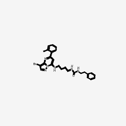 Cc1ccccc1-c1cc(NCCCCNC(=O)NCCc2ccccc2)n2ncc(Br)c2n1